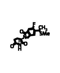 CSC(C)c1cc2c(cc1F)C(=O)N([C@H]1CCC(=O)NC1=O)C2